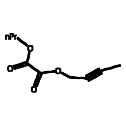 CC#CCOC(=O)C(=O)OCCC